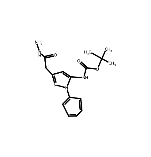 CC(C)(C)OC(=O)Nc1cc(CC(=O)NN)nn1-c1ccccc1